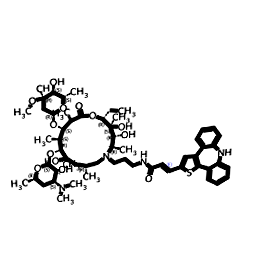 CC[C@H]1OC(=O)[C@H](C)[C@@H](O[C@H]2C[C@@](C)(OC)[C@@H](O)[C@H](C)O2)[C@H](C)[C@@H](O[C@@H]2O[C@H](C)C[C@H](N(C)C)[C@H]2O)[C@](C)(O)C[C@@H](C)CN(CCCNC(=O)/C=C/c2cc3c(s2)-c2ccccc2Nc2ccccc2-3)[C@H](C)[C@@H](O)[C@]1(C)O